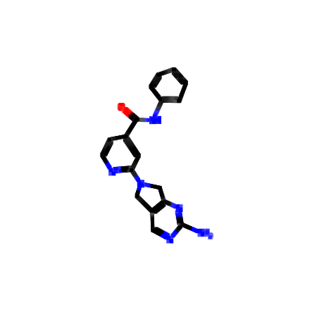 Nc1ncc2c(n1)CN(c1cc(C(=O)Nc3ccccc3)ccn1)C2